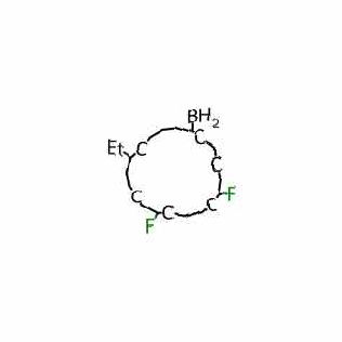 BC1CCCCC(F)CCCCC(F)CCCCC(CC)CCCC1